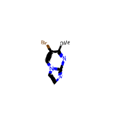 COc1nc2nccn2cc1Br